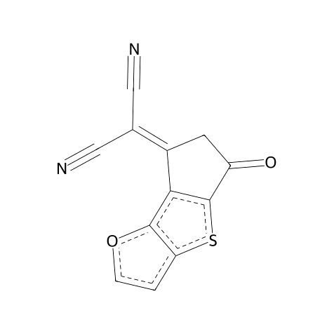 N#CC(C#N)=C1CC(=O)c2sc3ccoc3c21